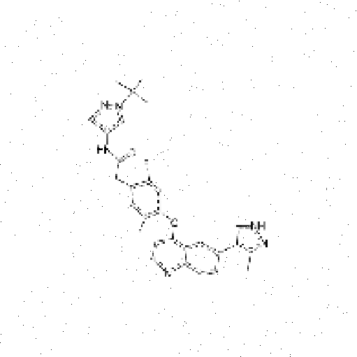 Cc1cc(CC(=O)Nc2cnn(C(C)(C)C)c2)c(F)cc1Oc1ccnc2ccc(-c3c[nH]nc3C)cc12